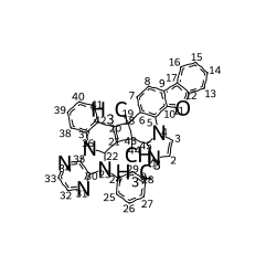 CN1C=CN2c3c(ccc4c3oc3ccccc34)C3(C)C4=C(C5N(c6ccccc6)c6nccnc6N5c5ccccc54)C3(C)C12